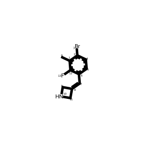 Cc1c(Br)ccc(C=C2CNC2)c1F